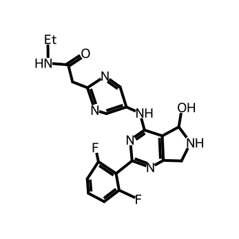 CCNC(=O)Cc1ncc(Nc2nc(-c3c(F)cccc3F)nc3c2C(O)NC3)cn1